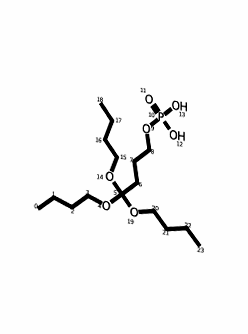 CCCCOC(CCCOP(=O)(O)O)(OCCCC)OCCCC